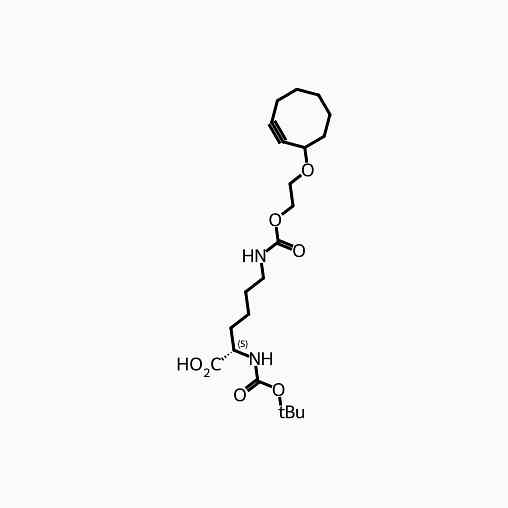 CC(C)(C)OC(=O)N[C@@H](CCCCNC(=O)OCCOC1C#CCCCCC1)C(=O)O